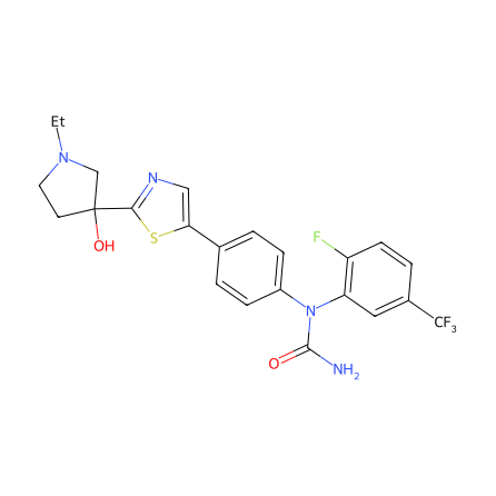 CCN1CCC(O)(c2ncc(-c3ccc(N(C(N)=O)c4cc(C(F)(F)F)ccc4F)cc3)s2)C1